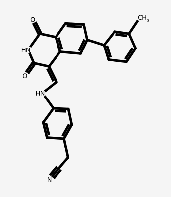 Cc1cccc(-c2ccc3c(c2)/C(=C/Nc2ccc(CC#N)cc2)C(=O)NC3=O)c1